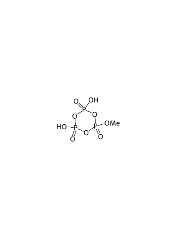 COP1(=O)OP(=O)(O)OP(=O)(O)O1